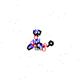 CC(C)(C)OC(=O)N1C2CCC1CN(c1nc(OCC34CCCN3CCC4)nc3c1CCN(C(=O)OCc1ccccc1)C3)C2